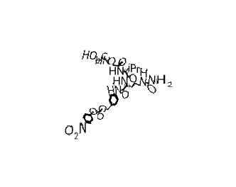 CC(C)[C@H](NC(=O)CONC(=O)O)C(=O)N[C@@H](CCCNC(N)=O)C(=O)Nc1ccc(COC(=O)Oc2ccc([N+](=O)[O-])cc2)cc1